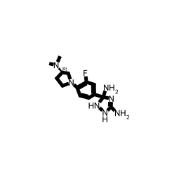 CN(C)[C@@H]1CCN(c2ccc(C3(N)N=C(N)NN3)cc2F)C1